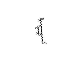 CCCCCCCCCCCCCCCCCC(=O)O.O=C(O)CCCC(=O)O